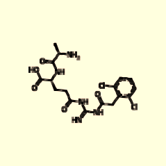 C[C@@H](N)C(=O)N[C@@H](CCC(=O)NC(=N)NC(=O)Cc1c(Cl)cccc1Cl)C(=O)O